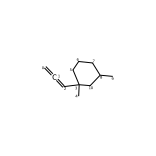 C=C=CC1(C)CCCC(C)C1